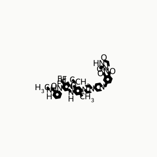 CNC(=O)c1ccccc1Nc1cc(Nc2cc(C)c(N3CCN(C4CCN(Cc5ccc6c(c5)C(=O)N(N5CCC(=O)NC5=O)C6=O)CC4)CC3)cc2OC(C)C)ncc1C(F)(F)F